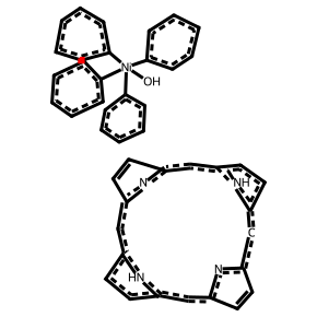 C1=Cc2cc3ccc(cc4nc(cc5ccc(cc1n2)[nH]5)C=C4)[nH]3.[OH][Ni]([c]1ccccc1)([c]1ccccc1)([c]1ccccc1)[c]1ccccc1